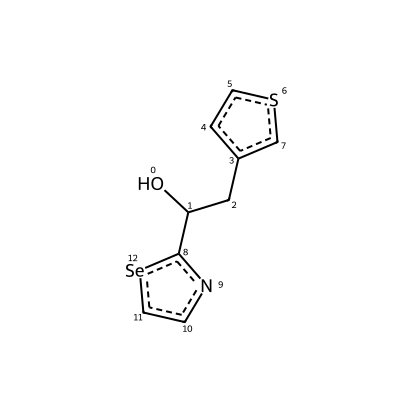 OC(Cc1ccsc1)c1ncc[se]1